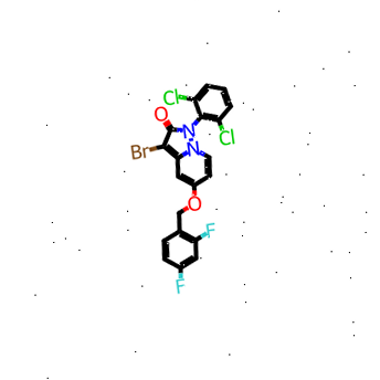 O=c1c(Br)c2cc(OCc3ccc(F)cc3F)ccn2n1-c1c(Cl)cccc1Cl